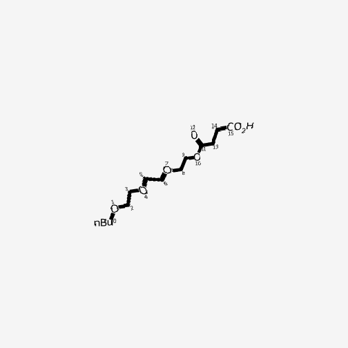 CCCCOCCOCCOCCOC(=O)CCC(=O)O